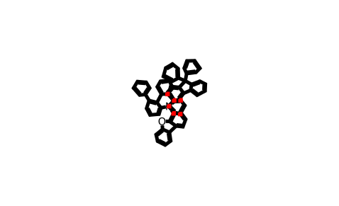 c1ccc(-c2ccccc2-c2c(-c3ccccc3)cccc2N(c2ccc3c(c2)-c2ccccc2C3(c2ccccc2)c2ccccc2)c2cccc3c2oc2ccccc23)cc1